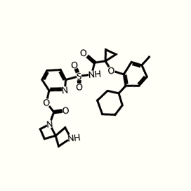 Cc1ccc(C2CCCCC2)c(OC2(C(=O)NS(=O)(=O)c3cccc(OC(=O)N4CCC45CNC5)n3)CC2)c1